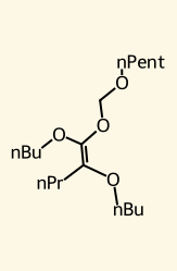 CCCCCOCOC(OCCCC)=C(CCC)OCCCC